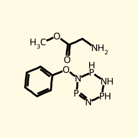 COC(=O)CN.c1ccc(On2pn[pH][nH][pH]2)cc1